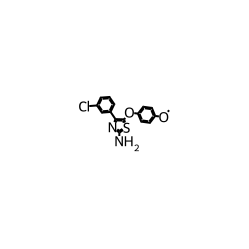 COc1ccc(Oc2sc(N)nc2-c2cccc(Cl)c2)cc1